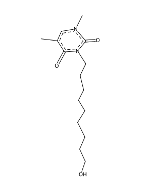 Cc1cn(C)c(=O)n(CCCCCCCCCO)c1=O